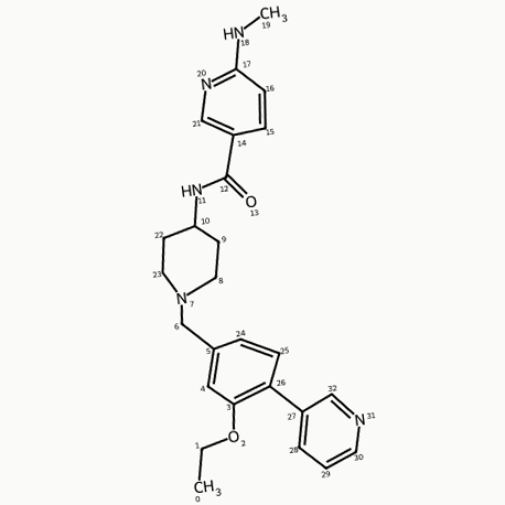 CCOc1cc(CN2CCC(NC(=O)c3ccc(NC)nc3)CC2)ccc1-c1cccnc1